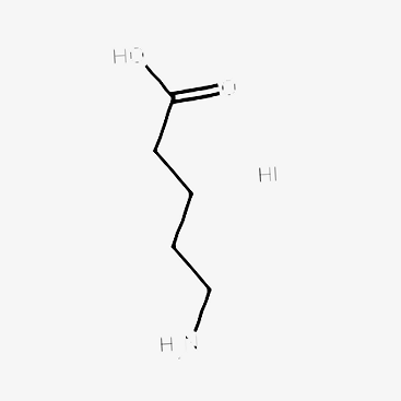 I.NCCCCC(=O)O